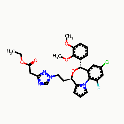 CCOC(=O)Cc1ncn(CC[C@H]2O[C@H](c3cccc(OC)c3OC)c3cc(Cl)cc(F)c3-n3cccc32)n1